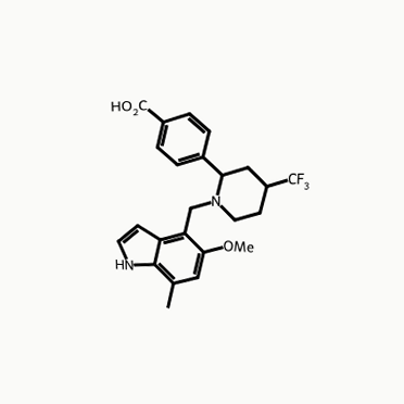 COc1cc(C)c2[nH]ccc2c1CN1CCC(C(F)(F)F)CC1c1ccc(C(=O)O)cc1